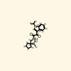 CC(C)n1cc(C(=O)C(=O)NCC2(N(C)C)CCCC2)c2ccccc21